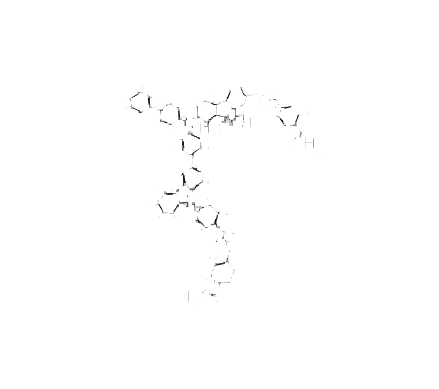 C=Cc1ccc(COCC2=CC=C3C4=CC[C@@H](N(C5=CC[C@H](c6ccccc6)C=C5)c5ccc(-c6ccc7c(c6)c6ccccc6n7[C@H]6C=CC(COCC7=CC[C@H](C=C)CC7)=CC6)cc5)C=C4C(C)(C)[C@H]3C2)cc1